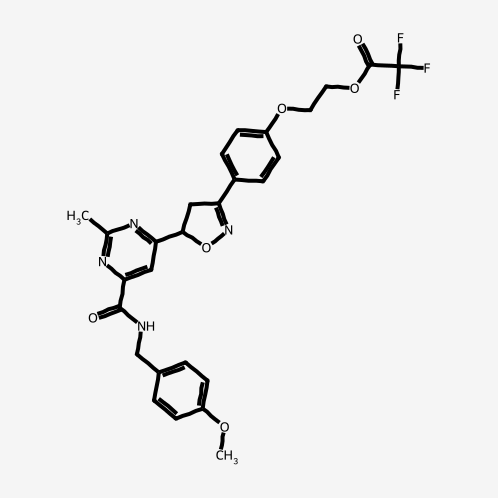 COc1ccc(CNC(=O)c2cc(C3CC(c4ccc(OCCOC(=O)C(F)(F)F)cc4)=NO3)nc(C)n2)cc1